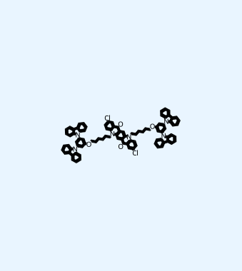 O=c1c2cc(Cl)ccc2n(CCCCCCOc2cc(-n3c4ccccc4c4ccccc43)cc(-n3c4ccccc4c4ccccc43)c2)c2cc3c(=O)c4cc(Cl)ccc4n(CCCCCCOc4cc(-n5c6ccccc6c6ccccc65)cc(-n5c6ccccc6c6ccccc65)c4)c3cc12